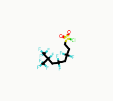 O=S(=O)(Cl)CCC(F)(F)CC(F)(F)CC(F)(C(F)(F)F)C(F)(F)F